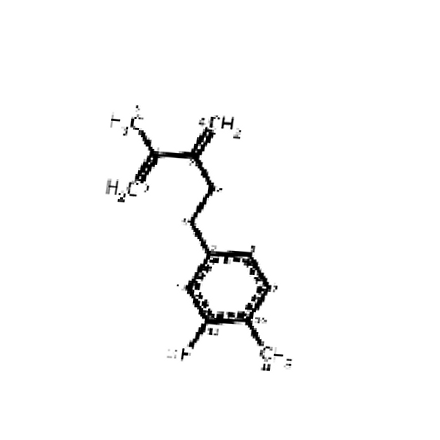 C=C(C)C(=C)CCc1ccc(C)c(F)c1